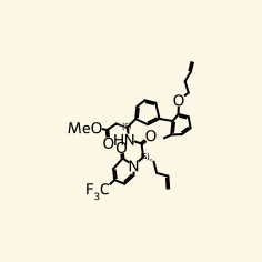 C=CCCOc1cccc(C)c1-c1cccc([C@H](CC(=O)OC)NC(=O)[C@H](CCC=C)n2ccc(C(F)(F)F)cc2=O)c1